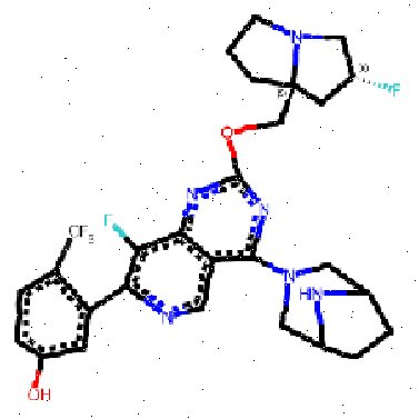 Oc1ccc(C(F)(F)F)c(-c2ncc3c(N4CC5CCC(C4)N5)nc(OC[C@@]45CCCN4C[C@H](F)C5)nc3c2F)c1